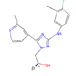 CC[C@H](O)Cn1nc(Nc2ccc(F)c(C)c2)nc1-c1ccnc(C)c1